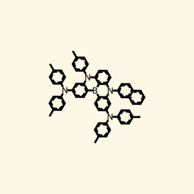 Cc1ccc(N(c2ccc(C)cc2)c2ccc3c(c2)N(c2ccc(C)cc2)c2cccc4c2B3c2ccc(N(c3ccc(C)cc3)c3ccc(C)cc3)cc2N4c2ccc3ccccc3c2)cc1